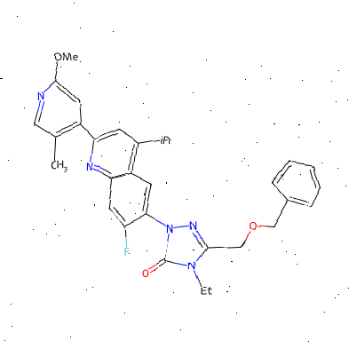 CCn1c(COCc2ccccc2)nn(-c2cc3c(C(C)C)cc(-c4cc(OC)ncc4C)nc3cc2F)c1=O